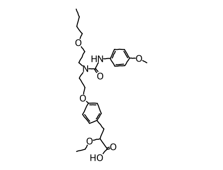 CCCCOCCN(CCOc1ccc(CC(OCC)C(=O)O)cc1)C(=O)Nc1ccc(OC)cc1